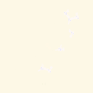 O=C(Nc1cnc(-n2nccn2)c(Cl)c1)c1cnn(-c2cc(F)ccc2Cl)c1C(F)(F)F